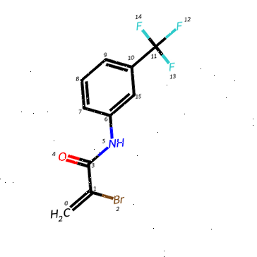 C=C(Br)C(=O)Nc1cccc(C(F)(F)F)c1